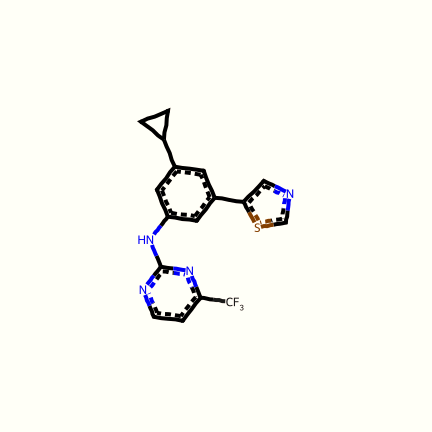 FC(F)(F)c1ccnc(Nc2cc(-c3cncs3)cc(C3CC3)c2)n1